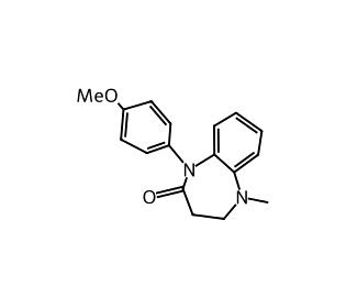 COc1ccc(N2C(=O)CCN(C)c3ccccc32)cc1